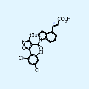 CC(C)(C)c1noc(-c2c(Cl)cc(Cl)cc2Cl)c1C(=O)n1ccc2c(/C=C/C(=O)O)cccc21